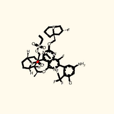 CC[C@@H](OS(=O)(=O)CC)C(=O)N1[C@@H]2CC[C@H]1[C@H]1[C@H](C)Oc3nc(-c4cc(N)cc(Cl)c4C(F)(F)F)c(F)c4nc(OC[C@@]56CCCN5C[C@H](F)C6)nc(c34)N1C2